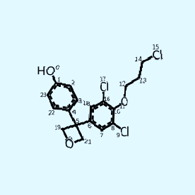 Oc1ccc(C2(c3cc(Cl)c(OCCCCl)c(Cl)c3)COC2)cc1